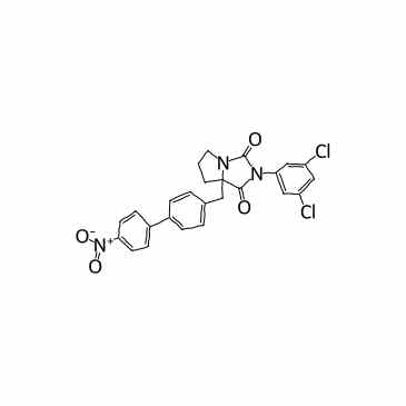 O=C1N(c2cc(Cl)cc(Cl)c2)C(=O)C2(Cc3ccc(-c4ccc([N+](=O)[O-])cc4)cc3)CCCN12